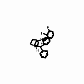 Fc1cccc(/C=N/[C@@H]2C3CCN(CC3)[C@H]2C(c2ccccc2)c2ccccc2)c1F